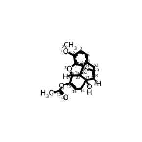 COc1ccc2c3c1O[C@H]1C(OC(C)=O)=CC[C@@]4(O)[C@H](CCC[C@]314)C2